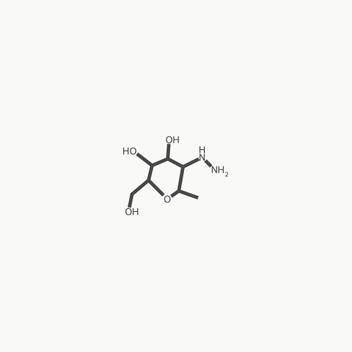 CC1OC(CO)C(O)C(O)C1NN